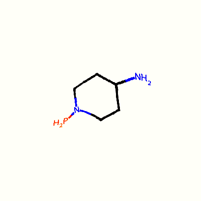 NC1CCN(P)CC1